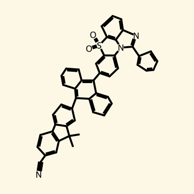 CC1(C)c2cc(C#N)ccc2-c2ccc(-c3c4ccccc4c(-c4ccc5c(c4)S(=O)(=O)c4cccc6nc(-c7ccccc7)n-5c46)c4ccccc34)cc21